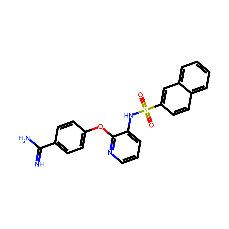 N=C(N)c1ccc(Oc2ncccc2NS(=O)(=O)c2ccc3ccccc3c2)cc1